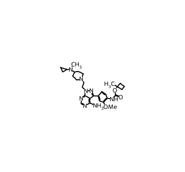 COc1cc(-c2nn(CCN3CCC(N(C)C4CC4)CC3)c3ncnc(N)c23)ccc1NC(=O)OC1(C)CCC1